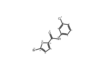 O=C(Nc1cccc(Cl)c1)c1ccc(Br)o1